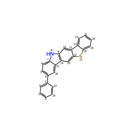 c1ccc(-c2ccc3[nH]c4cc5c(cc4c3c2)sc2ccccc25)cc1